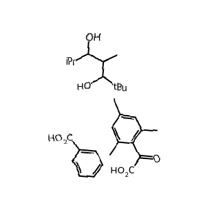 CC(C)C(O)C(C)C(O)C(C)(C)C.Cc1cc(C)c(C(=O)C(=O)O)c(C)c1.O=C(O)c1ccccc1